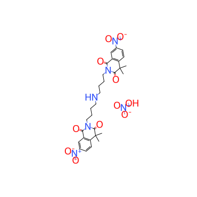 CC1(C)C(=O)N(CCCCNCCCCN2C(=O)c3cc([N+](=O)[O-])ccc3C(C)(C)C2=O)C(=O)c2cc([N+](=O)[O-])ccc21.O=[N+]([O-])O